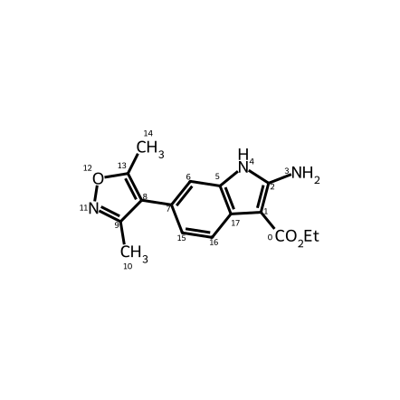 CCOC(=O)c1c(N)[nH]c2cc(-c3c(C)noc3C)ccc12